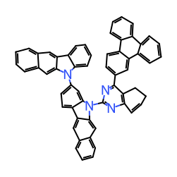 C1=Cc2nc(-n3c4cc(-n5c6ccccc6c6cc7ccccc7cc65)ccc4c4cc5ccccc5cc43)nc(-c3ccc4c5ccccc5c5ccccc5c4c3)c2CC1